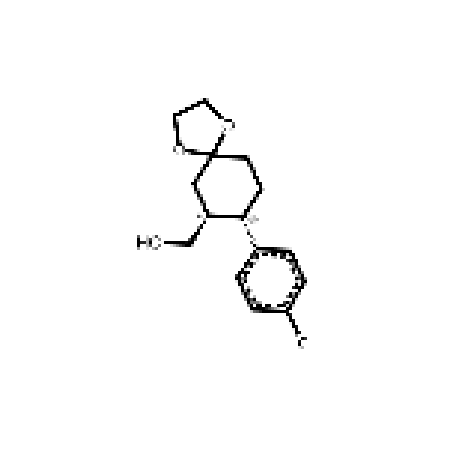 OC[C@H]1CC2(CC[C@@H]1c1ccc(Cl)cc1)OCCO2